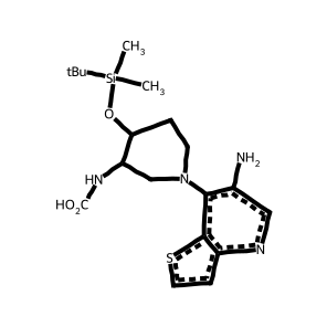 CC(C)(C)[Si](C)(C)OC1CCN(c2c(N)cnc3ccsc23)CC1NC(=O)O